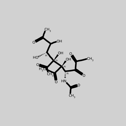 CC(=O)N[C@@H](C(=O)C(C)=O)[C@](O)(C(C)=O)[C@](O)(C(C)=O)[C@H](O)C(O)C(C)=O